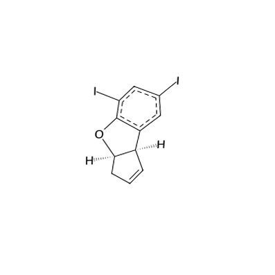 Ic1cc(I)c2c(c1)[C@H]1C=CC[C@H]1O2